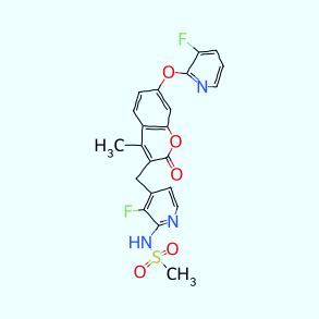 Cc1c(Cc2ccnc(NS(C)(=O)=O)c2F)c(=O)oc2cc(Oc3ncccc3F)ccc12